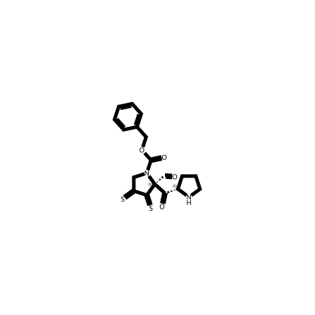 O=C[C@]1(C(=O)[C@@H]2CCCN2)C(=S)C(=S)CN1C(=O)OCc1ccccc1